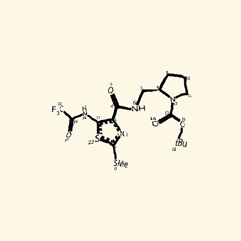 CSc1nc(C(=O)NC[C@H]2CCCN2C(=O)OC(C)(C)C)c(NC(=O)C(F)(F)F)s1